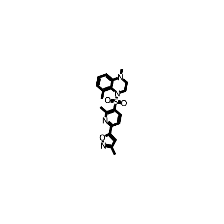 Cc1cc(-c2ccc(S(=O)(=O)N3CCN(C)c4cccc(C)c43)c(C)n2)on1